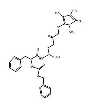 Cc1c(C)[n+](C)c(SCC(=O)CCC(NC(=O)C(Cc2ccccc2)NC(=O)OCc2ccccc2)C(=O)O)n1C